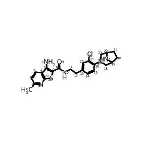 Cc1ccc2c(N)c(C(=O)NCCc3ccc(N4CC5CCC(C4)N5)c(Cl)c3)sc2n1